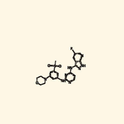 CS(=O)(=O)c1cc(Nc2nccc(Nc3n[nH]c4ncc(F)cc34)n2)cc(N2CCOCC2)c1